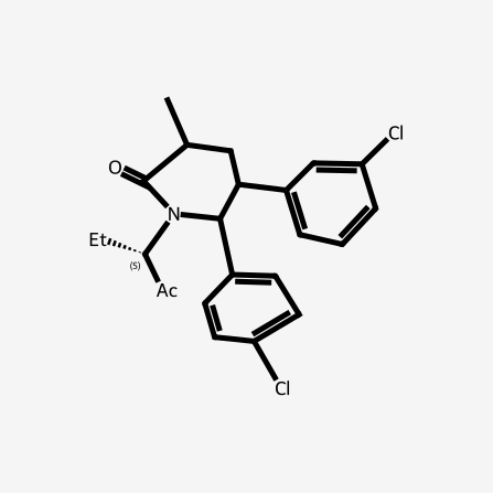 CC[C@@H](C(C)=O)N1C(=O)C(C)CC(c2cccc(Cl)c2)C1c1ccc(Cl)cc1